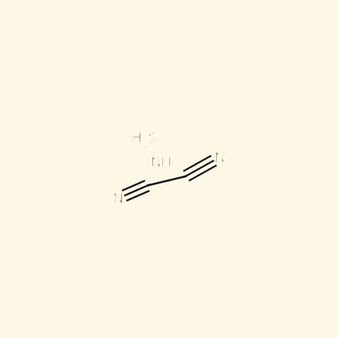 N.N#CC#N.S